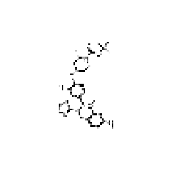 COc1ccc(CN(Sc2ccc(O[C@H]3CCN(C(=O)OC(C)(C)C)[C@@H](C)C3)c(Cl)c2)c2nccs2)c(OC)c1